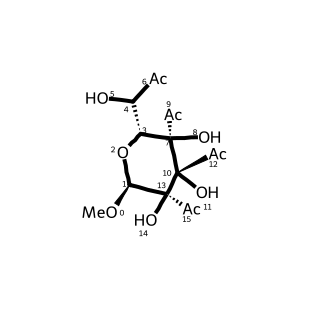 CO[C@H]1O[C@H](C(O)C(C)=O)[C@](O)(C(C)=O)[C@@](O)(C(C)=O)[C@]1(O)C(C)=O